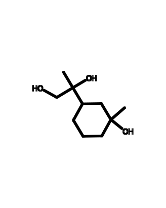 CC1(O)CCCC(C(C)(O)CO)C1